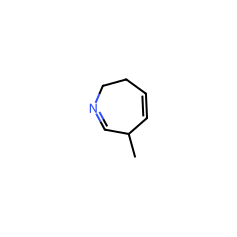 CC1C=CCCN=C1